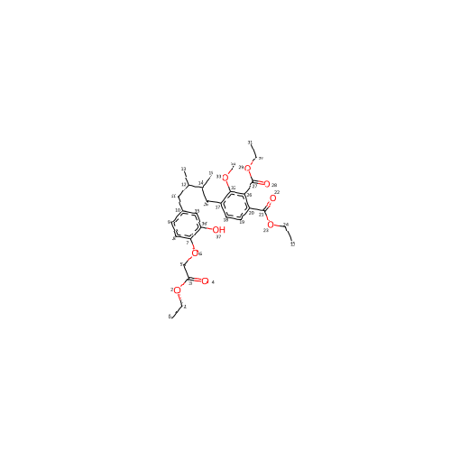 CCOC(=O)COc1ccc(CC(C)C(C)Cc2ccc(C(=O)OCC)c(C(=O)OCC)c2OC)cc1O